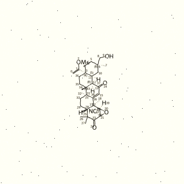 C=C(OC)[C@]12CC[C@@](C)(CO)C[C@H]1[C@H]1C(=O)C=C3[C@@]4(C)[C@H]5O[C@@]5(C#N)C(=O)C(C)(C)[C@@H]4CC[C@@]3(C)[C@]1(C)CC2